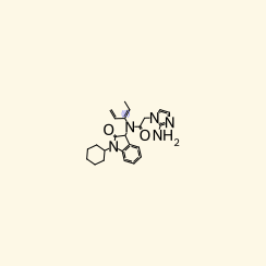 C=C/C(=C\C)N(C(=O)Cn1ccnc1N)C1C(=O)N(C2CCCCC2)c2ccccc21